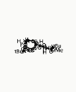 COC(=O)[C@H](CCCCNC(=O)CNC(=O)CCCN1CCOCCOCCOc2c(CN(C)C(=O)OC(C)(C)C)cccc2NC(=O)c2nc(cnc2N)-c2ccc(cc2)S1(=O)=O)NC(=O)OC(C)(C)C